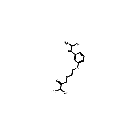 CC(S)Nc1cccc(OCCOCC(=O)C(C)C)c1